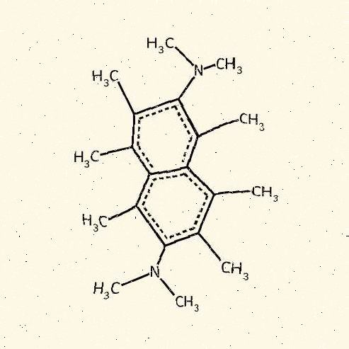 Cc1c(N(C)C)c(C)c2c(C)c(C)c(N(C)C)c(C)c2c1C